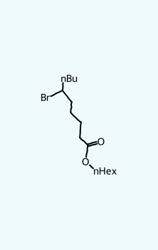 CCCCCCOC(=O)CCCCC(Br)CCCC